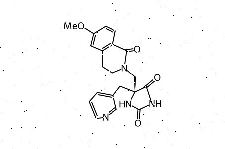 COc1ccc2c(c1)CCN(C[C@]1(Cc3cccnc3)NC(=O)NC1=O)C2=O